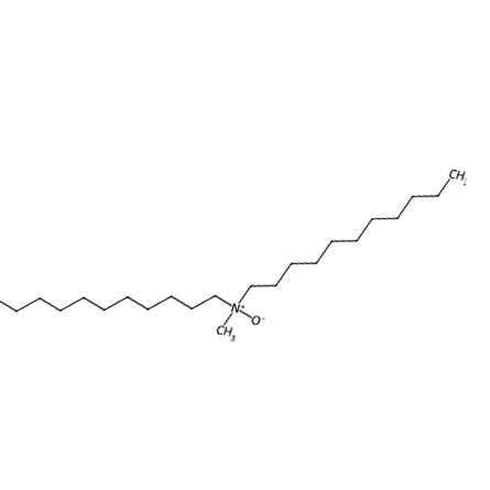 CCCCCCCCCCCC[N+](C)([O-])CCCCCCCCCCC